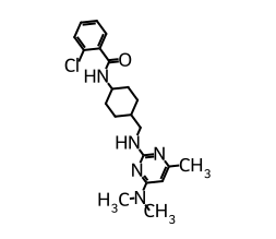 Cc1cc(N(C)C)nc(NCC2CCC(NC(=O)c3ccccc3Cl)CC2)n1